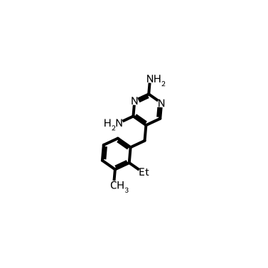 CCc1c(C)cccc1Cc1cnc(N)nc1N